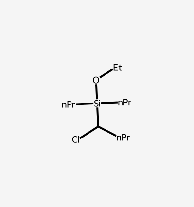 CCCC(Cl)[Si](CCC)(CCC)OCC